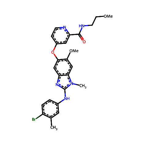 COCCNC(=O)c1cc(Oc2cc3nc(Nc4ccc(Br)c(C)c4)n(C)c3cc2OC)ccn1